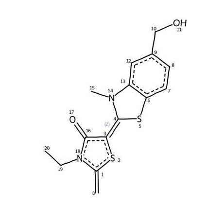 C=c1s/c(=C2\Sc3ccc(CO)cc3N2C)c(=O)n1CC